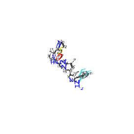 Nc1ncc(-c2ccc3nc(NC(=O)N4CCCC4c4nccs4)cn3c2)cc1C(F)(F)F